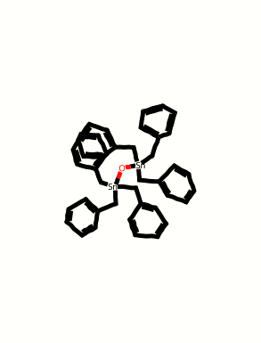 c1ccc([CH2][Sn]([CH2]c2ccccc2)([CH2]c2ccccc2)[O][Sn]([CH2]c2ccccc2)([CH2]c2ccccc2)[CH2]c2ccccc2)cc1